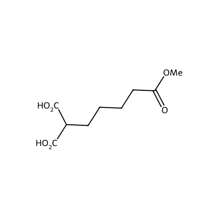 COC(=O)CCCCC(C(=O)O)C(=O)O